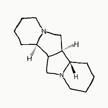 C1CCN2C[C@@H]3C(CN4CCCC[C@@H]34)[C@H]2C1